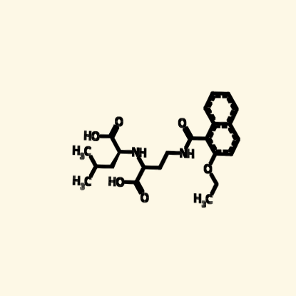 CCOc1ccc2ccccc2c1C(=O)NCCC(N[C@@H](CC(C)C)C(=O)O)C(=O)O